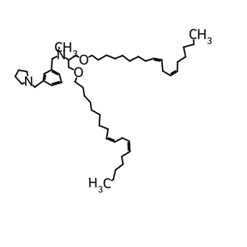 CCCCC/C=C\C/C=C\CCCCCCCCOCC(COCCCCCCCC/C=C\C/C=C\CCCCC)N(C)Cc1cccc(CN2CCCC2)c1